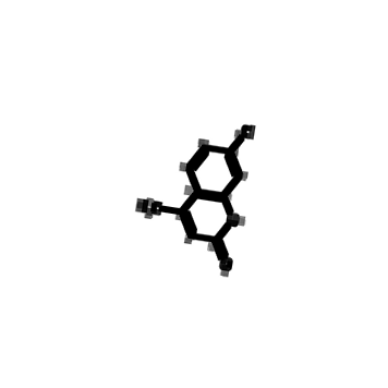 Cc1cc(=O)oc2cc(Cl)ccc12